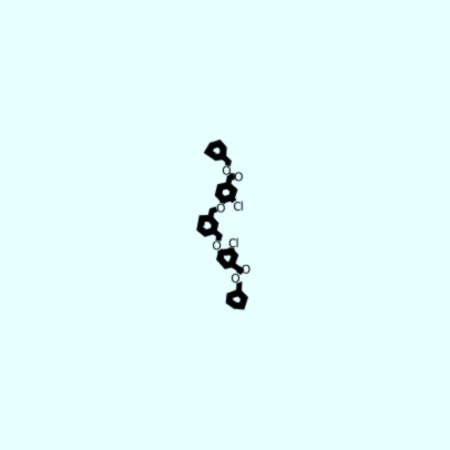 O=C(OCc1ccccc1)c1ccc(OCc2cccc(COc3ccc(C(=O)OCc4ccccc4)cc3Cl)c2)c(Cl)c1